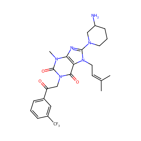 CC(C)=CCn1c(N2CCCC(N)C2)nc2c1c(=O)n(CC(=O)c1cccc(C(F)(F)F)c1)c(=O)n2C